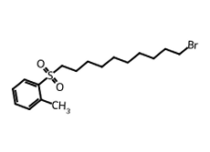 Cc1ccccc1S(=O)(=O)CCCCCCCCCCBr